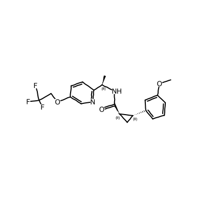 COc1cccc([C@@H]2C[C@H]2C(=O)N[C@H](C)c2ccc(OCC(F)(F)F)cn2)c1